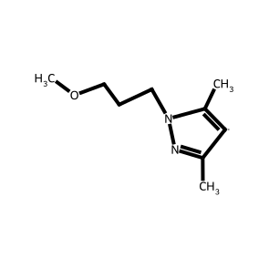 COCCCn1nc(C)[c]c1C